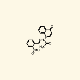 CC(=O)N(N=Cc1ccccc1[N+](=O)[O-])n1ccc(=O)c2ccccc21